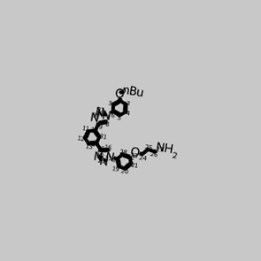 CCCCOc1cccc(-n2cc(-c3cccc(-c4cn(-c5cccc(OCCCN)c5)nn4)c3)nn2)c1